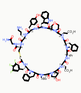 CCCC[C@H]1C(=O)N2C[C@H](O)C[C@@H]2C(=O)N[C@@H](CC(=O)O)C(=O)N[C@@H](C(C)C)C(=O)N(C)[C@@H](Cc2ccccc2)C(=O)N[C@@H](CCC(=O)O)C(=O)N2CCOC[C@@H]2C(=O)N[C@@H](Cc2c[nH]c3ccccc23)C(=O)N[C@@H](Cc2ccc(O)cc2)C(=O)N[C@@H](CCCN)C(=O)N[C@H](C(=O)NCC(N)=O)CSCC(=O)N[C@@H](Cc2cc(F)c(F)c(F)c2)C(=O)N(C)C(Cc2ccccc2)C(=O)N1C